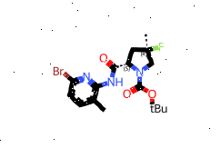 Cc1ccc(Br)nc1NC(=O)[C@@H]1C[C@@](C)(F)CN1C(=O)OC(C)(C)C